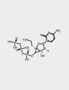 NCC[C@]12O[C@@H](n3ccc(N)nc3=O)[C@H](F)[C@@]1(O)C2OP(=O)(O)OP(=O)(O)OP(=O)(O)O